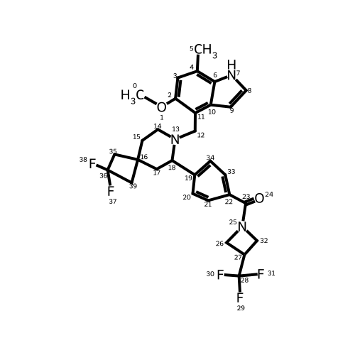 COc1cc(C)c2[nH]ccc2c1CN1CCC2(CC1c1ccc(C(=O)N3CC(C(F)(F)F)C3)cc1)CC(F)(F)C2